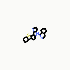 c1ccc2c(-n3c4cccnc4c4c5sc6ccccc6c5ccc43)nccc2c1